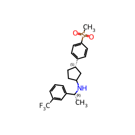 C[C@@H](NC1CC[C@H](c2ccc(S(C)(=O)=O)cc2)C1)c1cccc(C(F)(F)F)c1